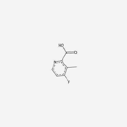 Cc1c(F)ccnc1C(=O)O